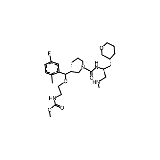 CNC[C@H](C[C@H]1CCCOC1)NC(=O)N1CCC[C@@H]([C@@H](OCCNC(=O)OC)c2cc(F)ccc2C)C1